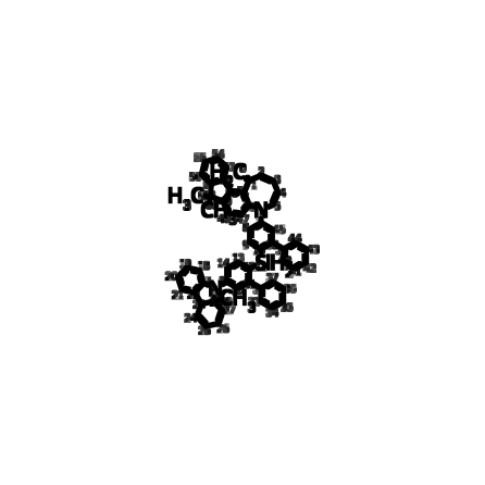 C=C1/C=C\C=C/N(c2ccc([SiH2]c3ccc(N4c5ccccc5C5C=CC=CC54C)cc3-c3ccccc3)c(-c3ccccc3)c2)c2ccc3c(c21)-c1ccccc1C3(C)C